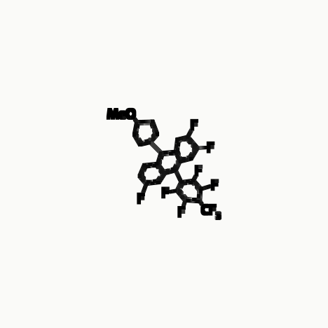 COc1ccc(-c2c3ccc(F)cc3c(-c3c(F)c(F)c(C(F)(F)F)c(F)c3F)c3cc(F)c(F)cc23)cc1